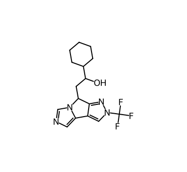 OC(CC1c2nn(C(F)(F)F)cc2-c2cncn21)C1CCCCC1